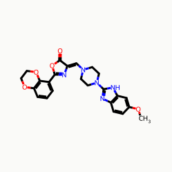 COc1ccc2nc(N3CCN(/C=C4\N=C(c5cccc6c5OCCO6)OC4=O)CC3)[nH]c2c1